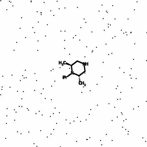 CC(C)N1[C@@H](C)CNC[C@@H]1C